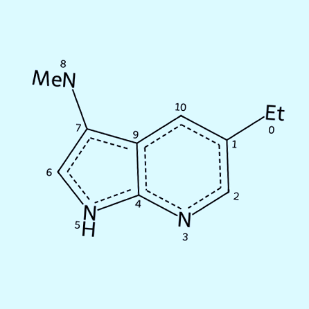 CCc1cnc2[nH]cc(NC)c2c1